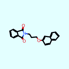 O=C1c2ccccc2C(=O)N1CCCOc1ccc2ccccc2c1